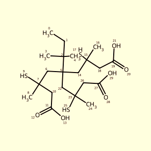 CCC(C)(C)C(CC(C)(S)CC(=O)O)(CC(C)(S)CC(=O)O)CC(C)(S)CC(=O)O